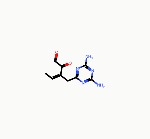 CC=C(Cc1nc(N)nc(N)n1)C(=O)C=O